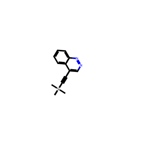 C[Si](C)(C)C#Cc1cnnc2ccccc12